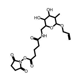 C=CCOC1OC(CNC(=O)CCCC(=O)ON2C(=O)CCC2=O)C(O)C(O)C1C